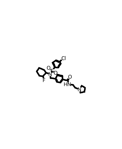 O=C(NCCN1CCCC1)c1ccc(CN(C2CCCCC2F)S(=O)(=O)c2ccc(Cl)cc2)cc1